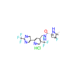 C[C@H]1N[C@@H](C(=O)NCc2cc(-c3cnc(C(F)(F)F)nc3)ncc2C(F)(F)F)C[C@H]1F.Cl